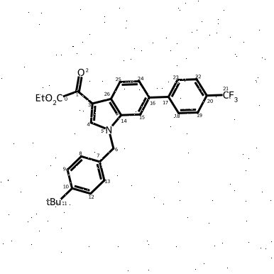 CCOC(=O)C(=O)c1cn(Cc2ccc(C(C)(C)C)cc2)c2cc(-c3ccc(C(F)(F)F)cc3)ccc12